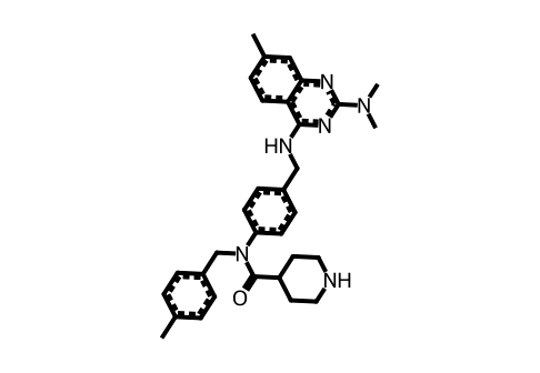 Cc1ccc(CN(C(=O)C2CCNCC2)c2ccc(CNc3nc(N(C)C)nc4cc(C)ccc34)cc2)cc1